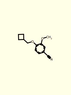 COc1cc(C#N)ccc1OCC1CCC1